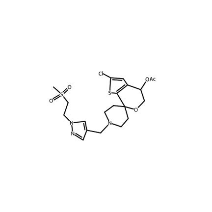 CC(=O)OC1COC2(CCN(Cc3cnn(CCS(C)(=O)=O)c3)CC2)c2sc(Cl)cc21